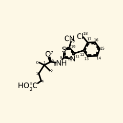 CC(C)(CCC(=O)O)C(=O)Nc1nc(-c2ccccc2Cl)c(C#N)s1